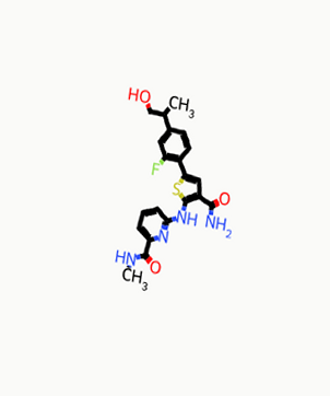 CNC(=O)c1cccc(Nc2sc(-c3ccc(C(C)CO)cc3F)cc2C(N)=O)n1